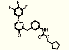 O=C(Nc1cccc(Cc2nn(-c3cc(F)c(F)c(F)c3)ccc2=O)c1)OCC1CCCC1